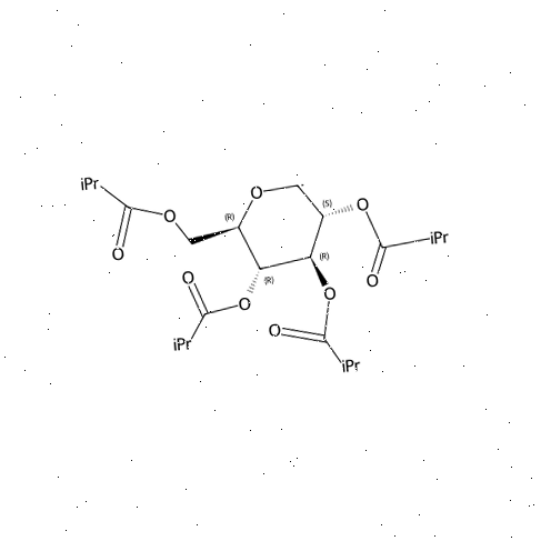 CC(C)C(=O)OC[C@H]1O[CH][C@H](OC(=O)C(C)C)[C@@H](OC(=O)C(C)C)[C@@H]1OC(=O)C(C)C